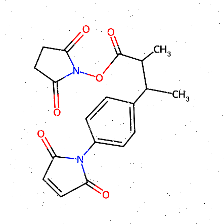 CC(C(=O)ON1C(=O)CCC1=O)C(C)c1ccc(N2C(=O)C=CC2=O)cc1